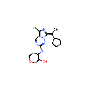 CC(c1nc(Cl)c2cnc(NC3CCOCC3O)nn12)C1CCCC1